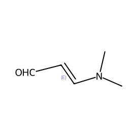 CN(C)/C=C/C=O